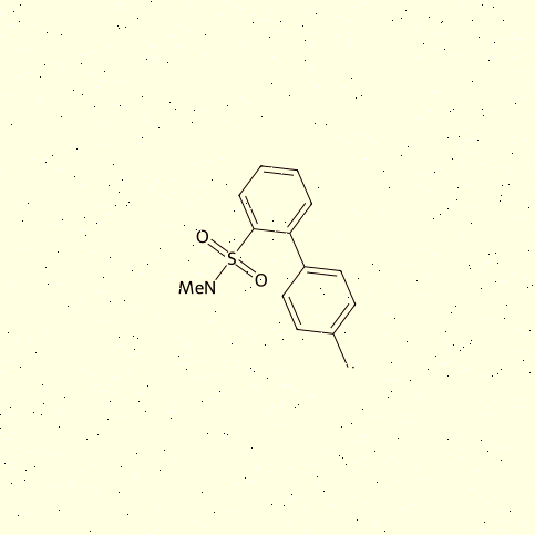 [CH2]c1ccc(-c2ccccc2S(=O)(=O)NC)cc1